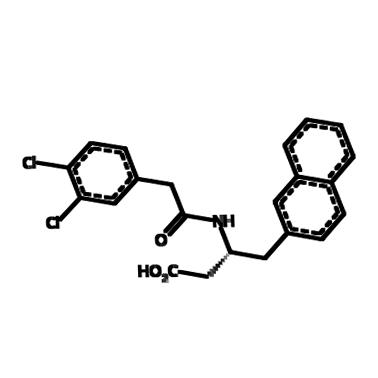 O=C(O)C[C@@H](Cc1ccc2ccccc2c1)NC(=O)Cc1ccc(Cl)c(Cl)c1